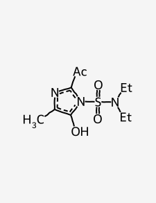 CCN(CC)S(=O)(=O)n1c(C(C)=O)nc(C)c1O